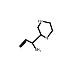 C=CC(N)C1CNCC[N]1